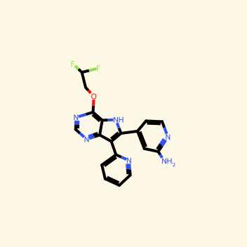 Nc1cc(-c2[nH]c3c(OCC(F)F)ncnc3c2-c2ccccn2)ccn1